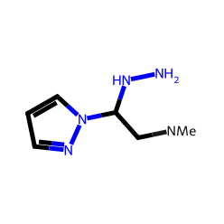 CNCC(NN)n1cccn1